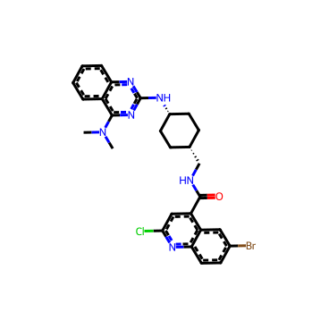 CN(C)c1nc(N[C@H]2CC[C@@H](CNC(=O)c3cc(Cl)nc4ccc(Br)cc34)CC2)nc2ccccc12